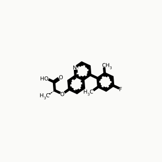 Cc1cc(F)cc(C)c1-c1ccnc2cc(O[C@H](C)C(=O)O)ccc12